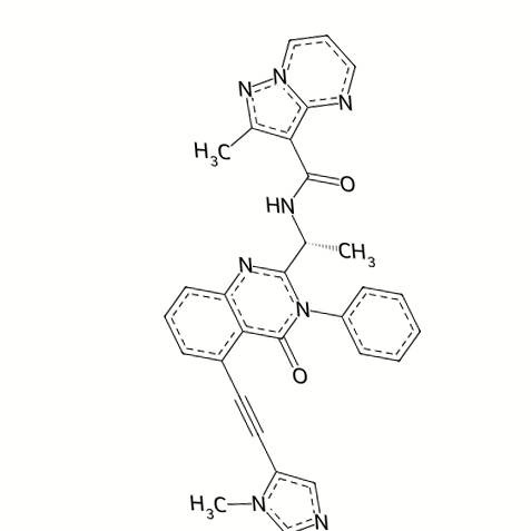 Cc1nn2cccnc2c1C(=O)N[C@H](C)c1nc2cccc(C#Cc3cncn3C)c2c(=O)n1-c1ccccc1